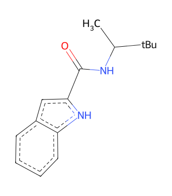 CC(NC(=O)c1cc2ccccc2[nH]1)C(C)(C)C